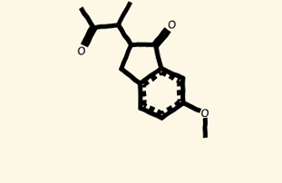 COc1ccc2c(c1)C(=O)C(C(C)C(C)=O)C2